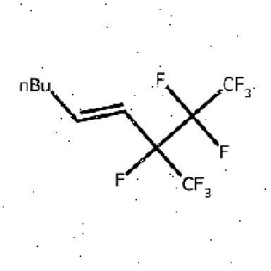 CCCCC=CC(F)(C(F)(F)F)C(F)(F)C(F)(F)F